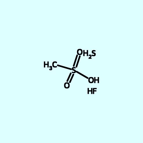 CS(=O)(=O)O.F.S